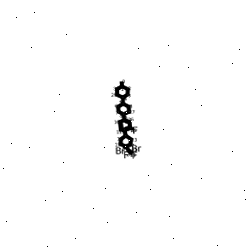 CC1CCC(C2CCC(c3ccc(C4CCC(Br)(C(F)(F)Br)CC4)c(F)c3)CC2)CC1